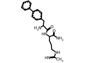 CC(=N)NCCCC(NC(=O)C(N)Cc1ccc(-c2ccccc2)cc1)C(N)=O